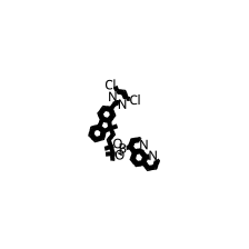 CC1(CCC2(C)OB(c3ccnc4c3ccc3cccnc34)OC2(C)C)c2ccccc2-c2ccc(-c3nc(Cl)cc(Cl)n3)cc21